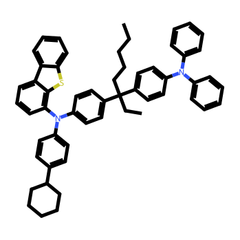 CCCCCC(CC)(c1ccc(N(c2ccccc2)c2ccccc2)cc1)c1ccc(N(c2ccc(C3CCCCC3)cc2)c2cccc3c2sc2ccccc23)cc1